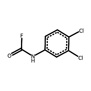 O=C(F)Nc1ccc(Cl)c(Cl)c1